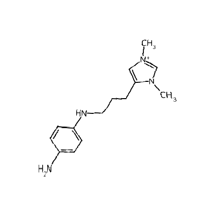 Cn1c[n+](C)cc1CCCNc1ccc(N)cc1